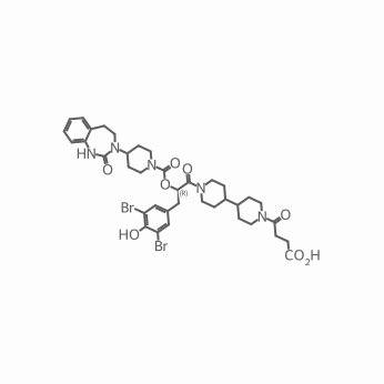 O=C(O)CCC(=O)N1CCC(C2CCN(C(=O)[C@@H](Cc3cc(Br)c(O)c(Br)c3)OC(=O)N3CCC(N4CCc5ccccc5NC4=O)CC3)CC2)CC1